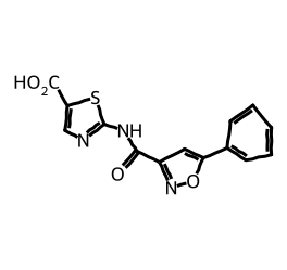 O=C(Nc1ncc(C(=O)O)s1)c1cc(-c2ccccc2)on1